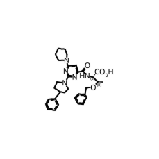 C[C@@H](OCc1ccccc1)[C@H](NC(=O)c1cc(N2CCCCC2)nc(N2CCC(c3ccccc3)CC2)n1)C(=O)O